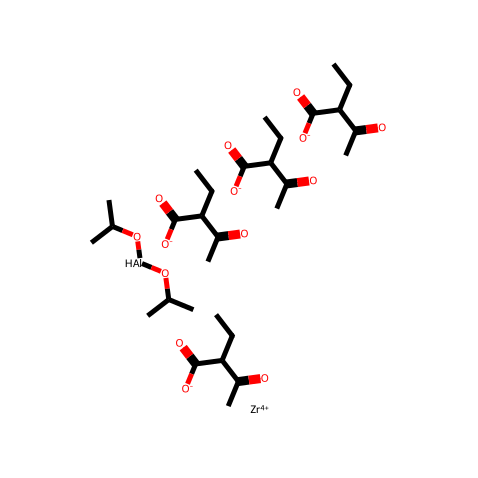 CC(C)[O][AlH][O]C(C)C.CCC(C(C)=O)C(=O)[O-].CCC(C(C)=O)C(=O)[O-].CCC(C(C)=O)C(=O)[O-].CCC(C(C)=O)C(=O)[O-].[Zr+4]